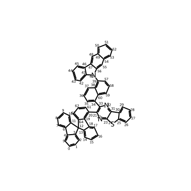 c1ccc2c(c1)-c1ccccc1C21c2ccccc2-c2c(-c3nc4sc5ccccc5c4nc3-c3cccc4c(-n5c6ccccc6c6cc7ccccc7cc65)cccc34)cccc21